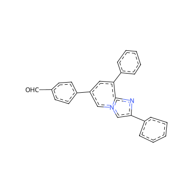 O=Cc1ccc(-c2cc(-c3ccccc3)c3nc(-c4ccccc4)cn3c2)cc1